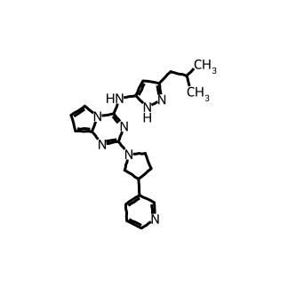 CC(C)Cc1cc(Nc2nc(N3CCC(c4cccnc4)C3)nc3cccn23)[nH]n1